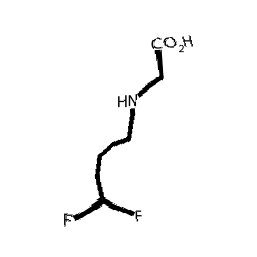 O=C(O)CNCCC(F)F